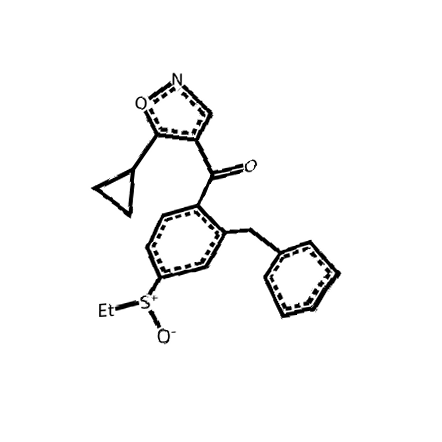 CC[S+]([O-])c1ccc(C(=O)c2cnoc2C2CC2)c(Cc2ccccc2)c1